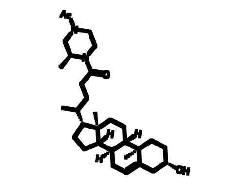 CC(=O)N1CCN(C(=O)CCC(C)[C@H]2CC[C@H]3[C@@H]4CC=C5C[C@@H](O)CC[C@]5(C)[C@H]4CC[C@]23C)[C@@H](C)C1